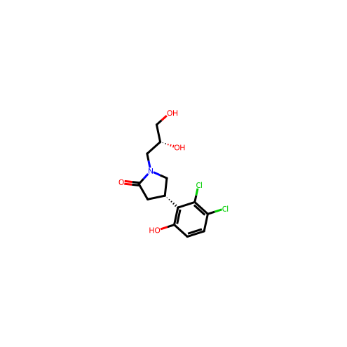 O=C1C[C@@H](c2c(O)ccc(Cl)c2Cl)CN1C[C@@H](O)CO